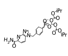 CC(C)OC(=O)OC(OC(=O)OC(C)C)O/[P+]([O-])=C1\C=CC(Cn2cnc3nc(C(N)=O)ccc32)=CC1